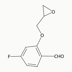 O=Cc1ccc(F)cc1OCC1CO1